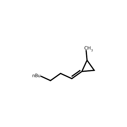 CCCCCCC=C1CC1C